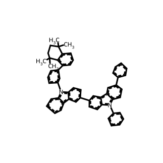 CC1(C)CCC(C)(C)c2c(-c3cccc(-n4c5ccccc5c5cc(-c6ccc7c(c6)c6cc(-c8ccccc8)ccc6n7-c6ccccc6)ccc54)c3)cccc21